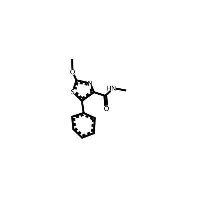 CNC(=O)c1nc(OC)sc1-c1ccccc1